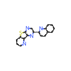 c1ccc2nc(-c3cnc4sc5cccnc5c4n3)ccc2c1